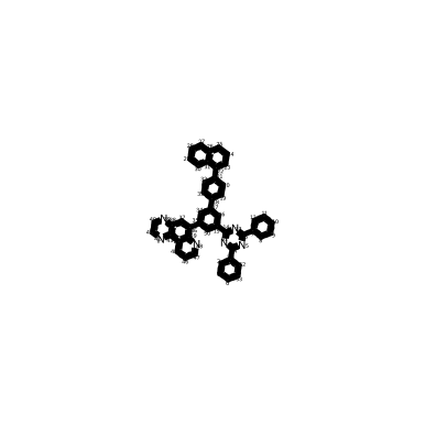 c1ccc(-c2nc(-c3ccccc3)nc(-c3cc(-c4ccc(-c5cccc6ccccc56)cc4)cc(-c4cc5nccnc5c5cccnc45)c3)n2)cc1